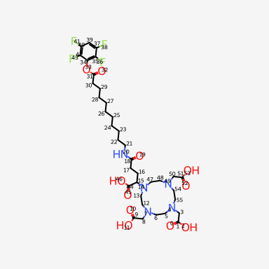 O=C(O)CN1CCN(CC(=O)O)CCN(C(CCC(=O)NCCCCCCCCCCC(=O)Oc2c(F)c(F)cc(F)c2F)C(=O)O)CCN(CC(=O)O)CC1